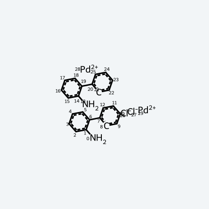 Nc1ccccc1-c1[c-]cccc1.Nc1ccccc1-c1[c-]cccc1.[Cl-].[Cl-].[Pd+2].[Pd+2]